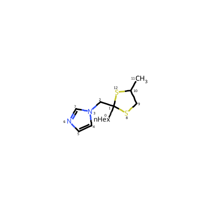 CCCCCCC1(Cn2ccnc2)SCC(C)S1